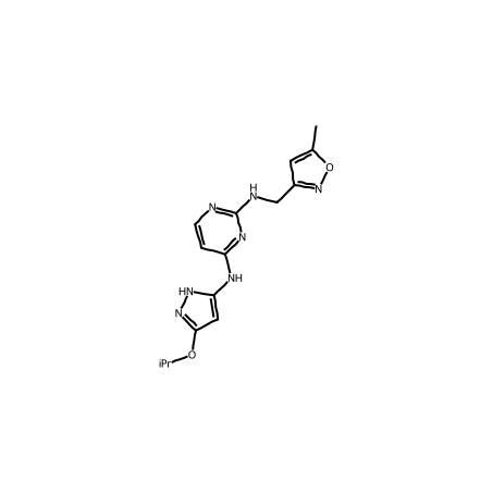 Cc1cc(CNc2nccc(Nc3cc(OC(C)C)n[nH]3)n2)no1